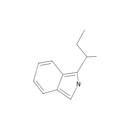 CCC(C)C1=c2ccccc2=C[N]1